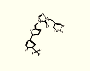 NC/C(=C\F)Cn1ncn(Cc2ccc(-c3ccc(F)c(C(F)(F)F)c3)s2)c1=O